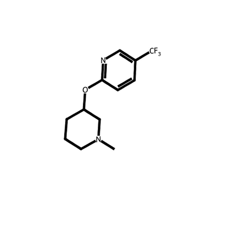 CN1CCCC(Oc2ccc(C(F)(F)F)cn2)C1